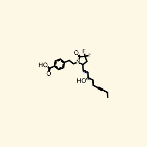 CCC#CCC[C@H](O)/C=C/C1CC(F)(F)C(=O)N1CCc1ccc(C(=O)O)cc1